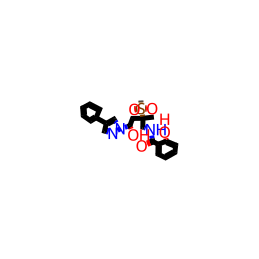 CC(CNC(=O)c1ccccc1O)(CC(O)n1cc(-c2ccccc2)cn1)S(C)(=O)=O